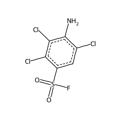 Nc1c(Cl)cc(S(=O)(=O)F)c(Cl)c1Cl